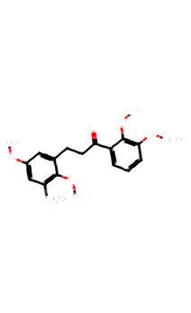 CCCCOc1cc(CCC(=O)c2cccc(OCCCC)c2OCCCC)c(OCCCC)c(OC)c1